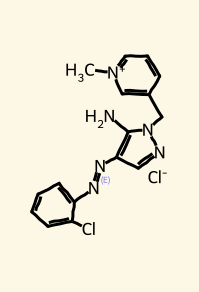 C[n+]1cccc(Cn2ncc(/N=N/c3ccccc3Cl)c2N)c1.[Cl-]